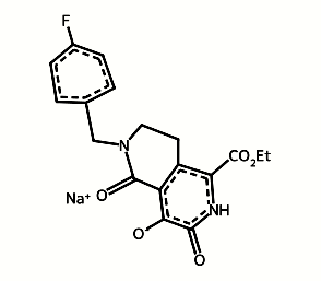 CCOC(=O)c1[nH]c(=O)c([O-])c2c1CCN(Cc1ccc(F)cc1)C2=O.[Na+]